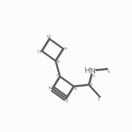 CNC(C)C1C#CC1C1CCC1